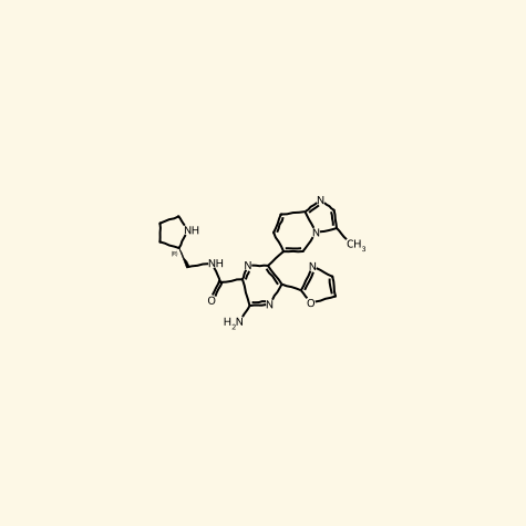 Cc1cnc2ccc(-c3nc(C(=O)NC[C@H]4CCCN4)c(N)nc3-c3ncco3)cn12